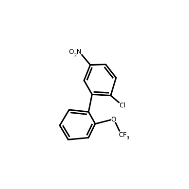 O=[N+]([O-])c1ccc(Cl)c(-c2ccccc2OC(F)(F)F)c1